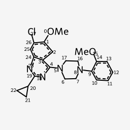 COc1cc2c(N3CCN(c4ccccc4OC)CC3)nc(C3CC3)nc2cc1Cl